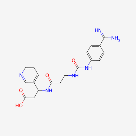 N=C(N)c1ccc(NC(=O)NCCC(=O)NC(CC(=O)O)c2cccnc2)cc1